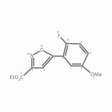 CCOC(=O)c1cc(-c2cc(OC)ccc2F)on1